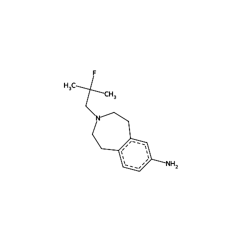 CC(C)(F)CN1CCc2ccc(N)cc2CC1